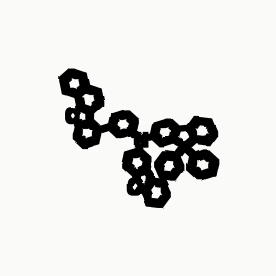 c1ccc(C2(c3ccccc3)c3ccccc3-c3ccc(N(c4cccc(-c5cccc6oc7c8ccccc8ccc7c56)c4)c4ccc5oc6ccccc6c5c4)cc32)cc1